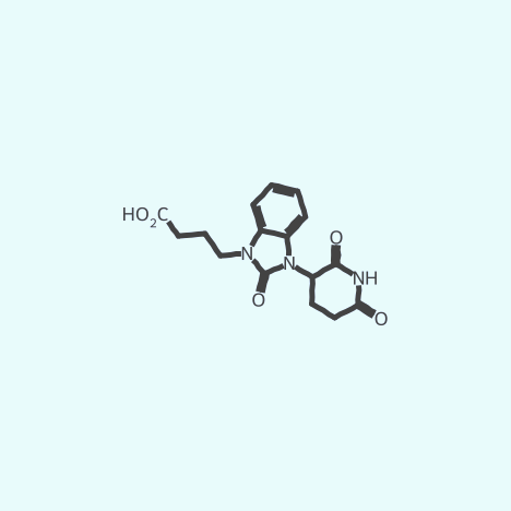 O=C(O)CCCn1c(=O)n(C2CCC(=O)NC2=O)c2ccccc21